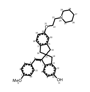 COc1ccc(C=C2c3ccc(O)cc3CC23Cc2ccc(OCCN4CCCCC4)cc2C3)cc1